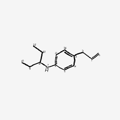 C=CCc1c[c]c(NC(CC)CC)cc1